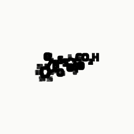 CS(=O)(=O)[C@@H](CSSN1C(=O)c2ccccc2C1=O)C(=O)O